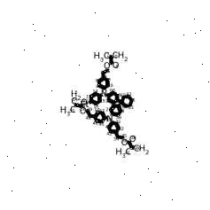 C=C(C)C(=O)OCCc1ccc(N(c2ccc(CC)cc2)c2ccc(C3(c4ccc(N(c5ccc(CCOC(=O)C(=C)C)cc5)c5ccc(CCOC(=O)C(=C)C)cc5)cc4)CCCCC3)cc2)cc1